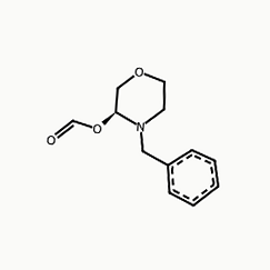 O=CO[C@H]1COCCN1Cc1ccccc1